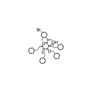 Cc1cc(Br)ccc1[C@@H](CO)[C@H]1O[C@H](CCc2ccccc2)[C@@H](OCc2ccccc2)[C@@H](OCc2ccccc2)[C@@H]1OCc1ccccc1